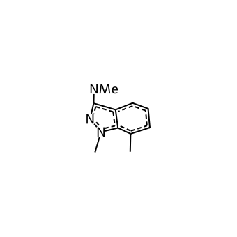 CNc1nn(C)c2c(C)cccc12